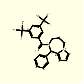 O=C(c1cc(C(F)(F)F)cc(C(F)(F)F)c1)N1CCCn2cccc2C1c1ccccc1